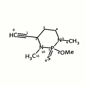 C#CC1CCN(C)P(=S)(OC)N1C